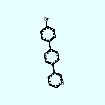 Brc1ccc(-c2ccc(-c3cccnc3)cc2)cc1